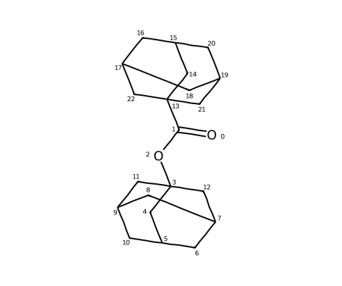 O=C(OC12CC3CC(CC(C3)C1)C2)C12CC3CC(CC(C3)C1)C2